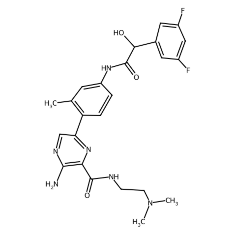 Cc1cc(NC(=O)C(O)c2cc(F)cc(F)c2)ccc1-c1cnc(N)c(C(=O)NCCN(C)C)n1